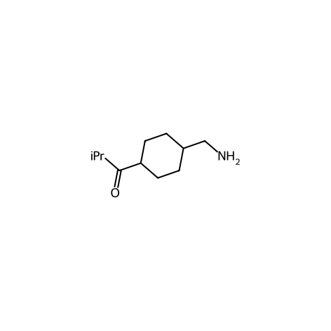 CC(C)C(=O)C1CCC(CN)CC1